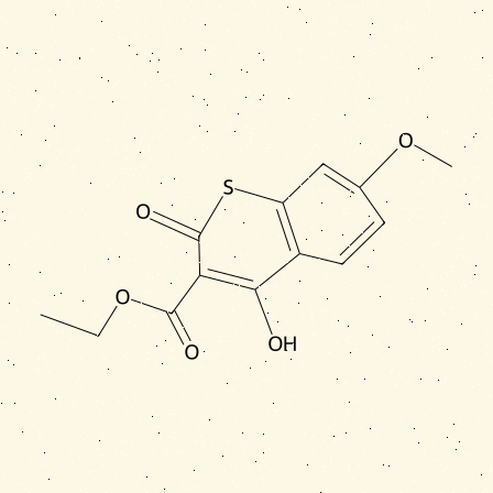 CCOC(=O)c1c(O)c2ccc(OC)cc2sc1=O